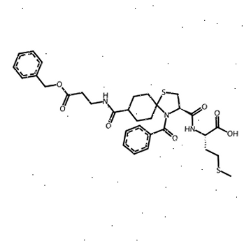 CSCC[C@H](NC(=O)[C@@H]1CSC2(CCC(C(=O)NCCC(=O)OCc3ccccc3)CC2)N1C(=O)c1ccccc1)C(=O)O